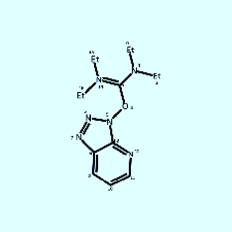 CCN(CC)C(On1nnc2cccnc21)=[N+](CC)CC